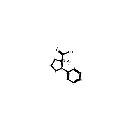 O=C(O)[C@]1(Br)CCCN1c1ccccc1